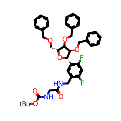 CC(C)(C)OC(=O)NCC(=O)NCc1cc([C@@H]2O[C@H](COCc3ccccc3)C(OCc3ccccc3)[C@H]2OCc2ccccc2)c(F)cc1F